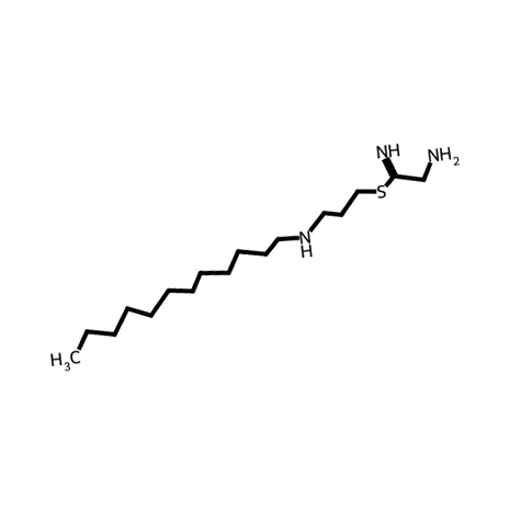 CCCCCCCCCCCCNCCCSC(=N)CN